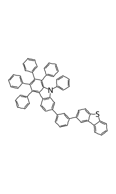 c1ccc(-c2c(-c3ccccc3)c(-c3ccccc3)c3c(c2-c2ccccc2)c2ccc(-c4cccc(-c5ccc6sc7ccccc7c6c5)c4)cc2n3-c2ccccc2)cc1